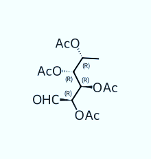 CC(=O)O[C@H]([C@H](OC(C)=O)[C@@H](C)OC(C)=O)[C@H](C=O)OC(C)=O